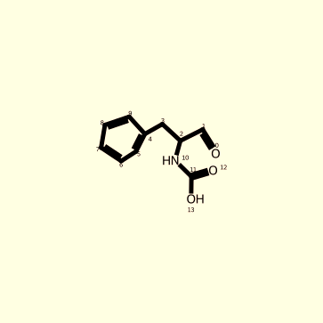 O=CC(Cc1ccccc1)NC(=O)O